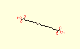 O=C(O)C(=O)CCCCCCCCCCCCCCCCC(=O)C(=O)O